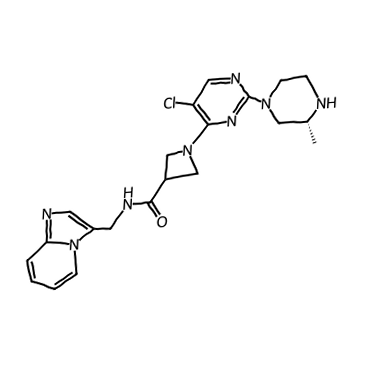 C[C@@H]1CN(c2ncc(Cl)c(N3CC(C(=O)NCc4cnc5ccccn45)C3)n2)CCN1